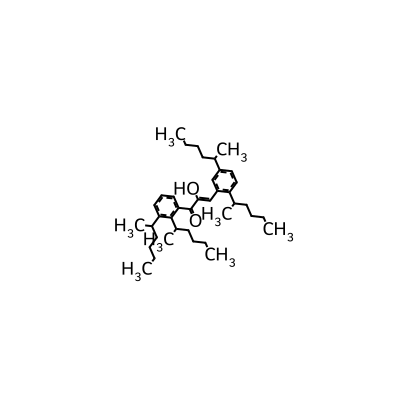 CCCCC(C)c1ccc(C(C)CCCC)c(C=C(O)C(=O)c2cccc(C(C)CCCC)c2C(C)CCCC)c1